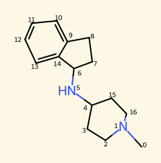 CN1CCC(NC2CCc3ccccc32)CC1